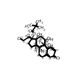 CC(C)(C)C(=O)O[C@]1(C(=O)CCl)CC[C@H]2[C@@H]3CCC4=CC(=O)C=C[C@]4(C)[C@@]3(F)[C@@H](O)C[C@@]21C